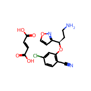 N#Cc1ccc(Cl)cc1O[C@H](CCN)c1ccon1.O=C(O)C=CC(=O)O